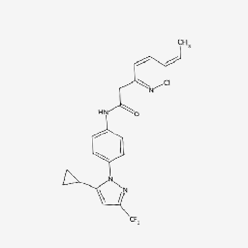 C/C=C\C=C/C(CC(=O)Nc1ccc(-n2nc(C(F)(F)F)cc2C2CC2)cc1)=NCl